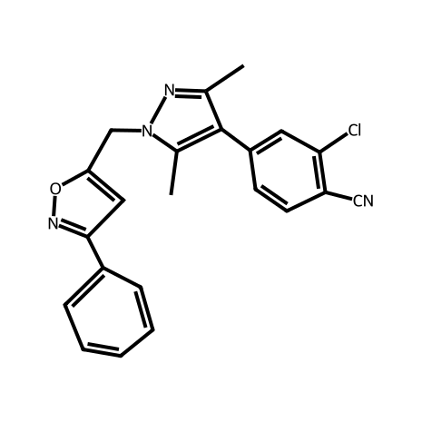 Cc1nn(Cc2cc(-c3ccccc3)no2)c(C)c1-c1ccc(C#N)c(Cl)c1